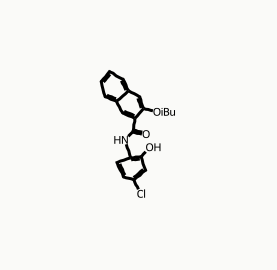 CC(C)COc1cc2ccccc2cc1C(=O)Nc1ccc(Cl)cc1O